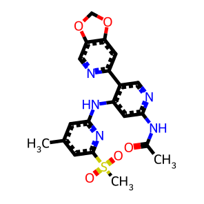 CC(=O)Nc1cc(Nc2cc(C)cc(S(C)(=O)=O)n2)c(-c2cc3c(cn2)OCO3)cn1